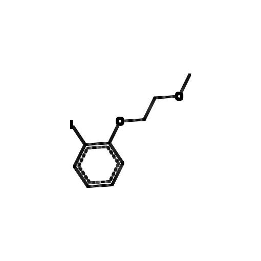 COCCOc1ccccc1I